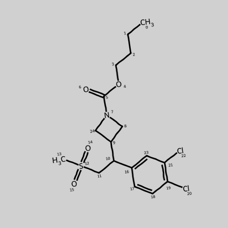 CCCCOC(=O)N1CC(C(CS(C)(=O)=O)c2ccc(Cl)c(Cl)c2)C1